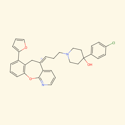 OC1(c2ccc(Cl)cc2)CCN(CC/C=C2/Cc3c(cccc3-c3ccco3)Oc3ncccc32)CC1